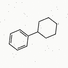 [C]1CCC(c2ccccc2)CC1